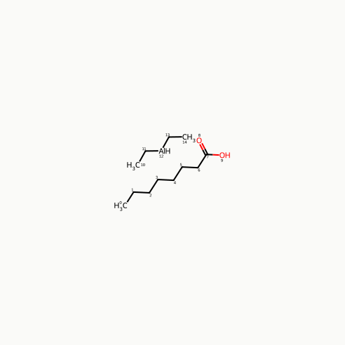 CCCCCCCC(=O)O.C[CH2][AlH][CH2]C